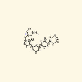 NC/C(=C\F)Cn1ncn(-c2cccc(-c3ccc(N4CCOCC4)c(F)c3)c2)c1=O